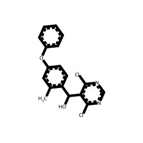 Cc1cc(Oc2ccccc2)ccc1C(O)c1c(Cl)ncnc1Cl